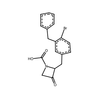 O=C1CN(C(=O)O)C1Cc1ccc(Br)c(Cc2ccccc2)c1